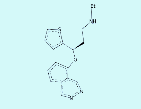 CCNCC[C@@H](Oc1cccc2cnncc12)c1cccs1